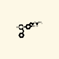 NC(=O)Oc1cc2cc(N3CCNCC3Cc3ccccc3)ccc2[nH]1